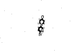 O=C1CCN(c2ccc(Br)nc2)CC1